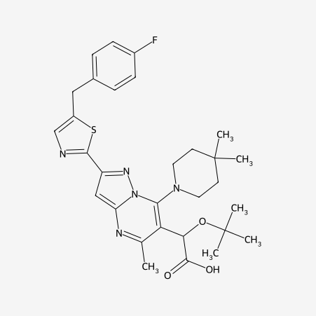 Cc1nc2cc(-c3ncc(Cc4ccc(F)cc4)s3)nn2c(N2CCC(C)(C)CC2)c1C(OC(C)(C)C)C(=O)O